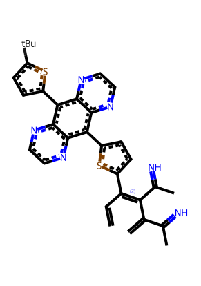 C=C/C(=C(\C(=C)C(C)=N)C(C)=N)c1ccc(-c2c3nccnc3c(-c3ccc(C(C)(C)C)s3)c3nccnc23)s1